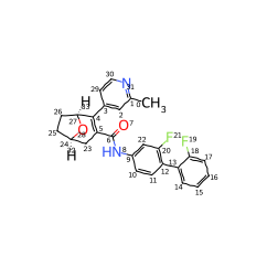 Cc1cc(C2=C(C(=O)Nc3ccc(-c4ccccc4F)c(F)c3)C[C@H]3CC[C@@H]2O3)ccn1